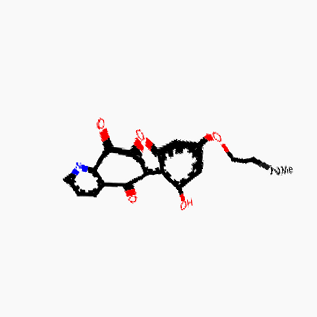 CNCCOc1cc(O)c2c3c(oc2c1)C(=O)c1ncccc1C3=O